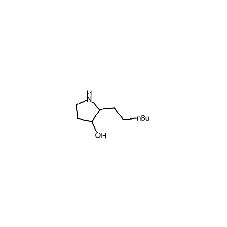 CCCCCCC1NCCC1O